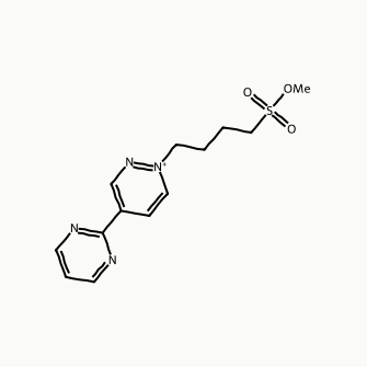 COS(=O)(=O)CCCC[n+]1ccc(-c2ncccn2)cn1